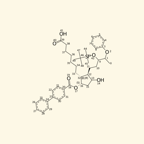 CC(Oc1ccccc1)C(CC[C@H]1C(O)C[C@H](OC(=O)c2ccc(-c3ccccc3)cc2)[C@@H]1CCCCCCC(=O)O)O[Si](C)(C)C(C)(C)C